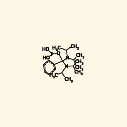 CC(C)N(C(C)C)C(OP(O)O)(c1ccccc1)N(C(C)C)C(C)C